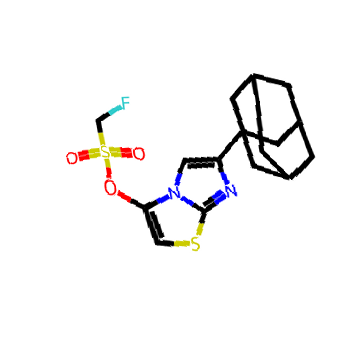 O=S(=O)(CF)Oc1csc2nc(C34CC5CC(CC(C5)C3)C4)cn12